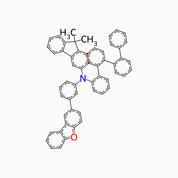 CC1(C)c2ccccc2-c2cc(N(c3cccc(-c4ccc5oc6ccccc6c5c4)c3)c3ccccc3-c3ccccc3-c3ccccc3-c3ccccc3)ccc21